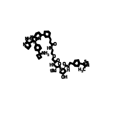 Cc1ncsc1-c1ccc(CNC(=O)[C@@H]2C[C@@H](O)CN2C(=O)[C@@H](NC(=O)COCCNC(=O)CCc2cccc(-c3ccc4nc(-c5cccnc5N)n(-c5ccc(C6(N)CCC6)cc5)c4n3)c2)C(C)(C)C)cc1